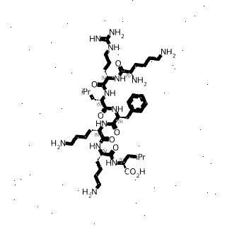 CC(C)C[C@H](NC(=O)[C@H](CCCCN)NC(=O)[C@H](CCCCN)NC(=O)[C@H](Cc1ccccc1)NC(=O)[C@H](CC(C)C)NC(=O)[C@H](CCCNC(=N)N)NC(=O)[C@@H](N)CCCCN)C(=O)O